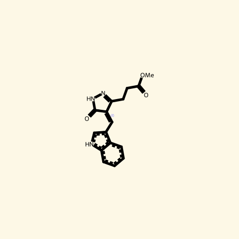 COC(=O)CCC1=NNC(=O)/C1=C\c1c[nH]c2ccccc12